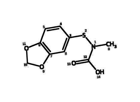 CN(Sc1ccc2c(c1)OCO2)C(=O)O